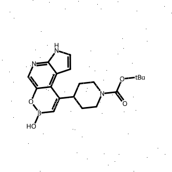 CC(C)(C)OC(=O)N1CCC(C2=CB(O)Oc3cnc4[nH]ccc4c32)CC1